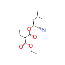 CCOC(=O)C(CC)C(=O)OC(C#N)CC(C)C